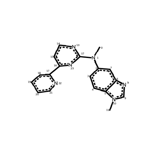 CN(c1ccc2c(c1)ncn2C)c1nccc(-c2ccccn2)n1